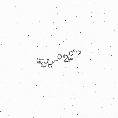 Nc1ncnc2c1c(-c1ccc(Oc3ccccc3)cc1)nn2C1CCCN(CCCSc2cccc3c2C(=O)N(C2CCC(=O)NC2=O)C3=O)C1